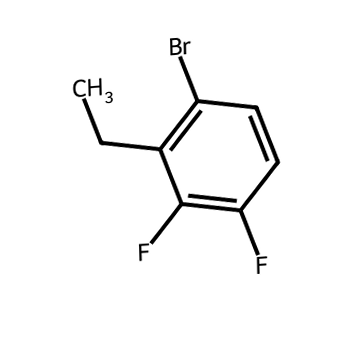 CCc1c(Br)ccc(F)c1F